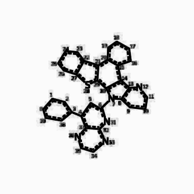 c1ccc(-c2cc(-n3c4cccnc4c4c5ccccc5c5c6ccccc6sc5c43)nc3nccnc23)cc1